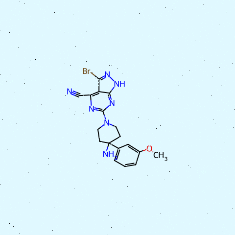 COc1cccc(C2(N)CCN(c3nc(C#N)c4c(Br)n[nH]c4n3)CC2)c1